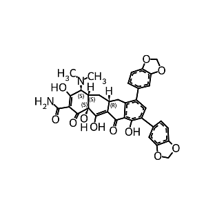 CN(C)[C@@H]1C(O)=C(C(N)=O)C(=O)[C@@]2(O)C(O)=C3C(=O)c4c(O)c(-c5ccc6c(c5)OCO6)cc(-c5ccc6c(c5)OCO6)c4C[C@H]3C[C@@H]12